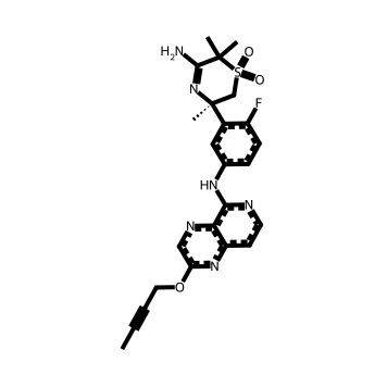 CC#CCOc1cnc2c(Nc3ccc(F)c([C@]4(C)CS(=O)(=O)C(C)(C)C(N)=N4)c3)nccc2n1